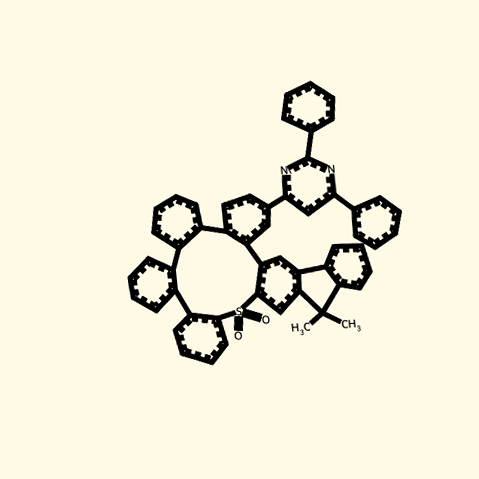 CC1(C)c2ccccc2-c2cc3c(cc21)S(=O)(=O)c1ccccc1-c1ccccc1-c1ccccc1-c1ccc(-c2cc(-c4ccccc4)nc(-c4ccccc4)n2)cc1-3